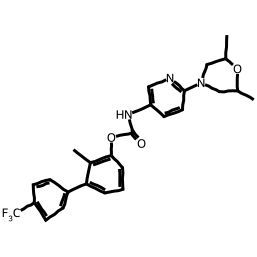 Cc1c(OC(=O)Nc2ccc(N3CC(C)OC(C)C3)nc2)cccc1-c1ccc(C(F)(F)F)cc1